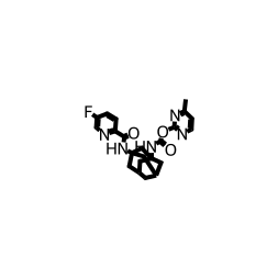 Cc1ccnc(OC(=O)NC23CC4CC(C2)CC(NC(=O)c2ccc(F)cn2)(C4)C3)n1